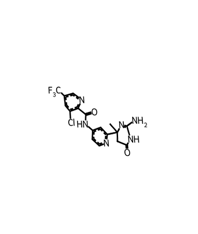 CC1(c2cc(NC(=O)c3ncc(C(F)(F)F)cc3Cl)ccn2)CC(=O)NC(N)=N1